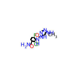 CNc1cc(NC(=O)Nc2c(F)ccc(C(N)=O)c2Cl)ncn1